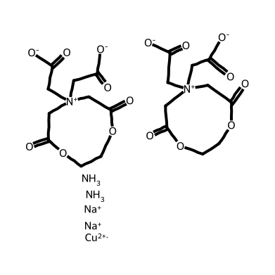 N.N.O=C([O-])C[N+]1(CC(=O)[O-])CC(=O)OCCOC(=O)C1.O=C([O-])C[N+]1(CC(=O)[O-])CC(=O)OCCOC(=O)C1.[Cu+2].[Na+].[Na+]